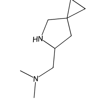 CN(C)CC1CC2(CC2)CN1